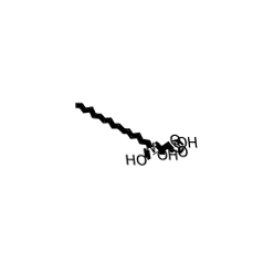 CCCCCCCCCCCCCCCC[N+](C)(CCO)CC(O)CCS(=O)(=O)O